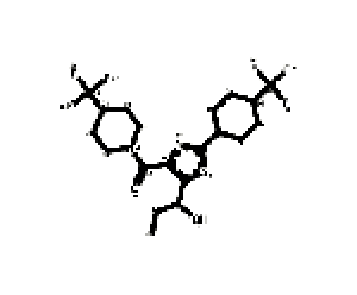 CCC(O)c1sc(C2CCC(C(F)(F)F)CC2)nc1C(=O)N1CCC(C(F)(F)F)CC1